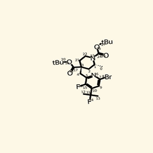 C[C@@H]1C[C@](Cc2nc(Br)cc(C(C)(C)F)c2F)(C(=O)OC(C)(C)C)CCN1C(=O)OC(C)(C)C